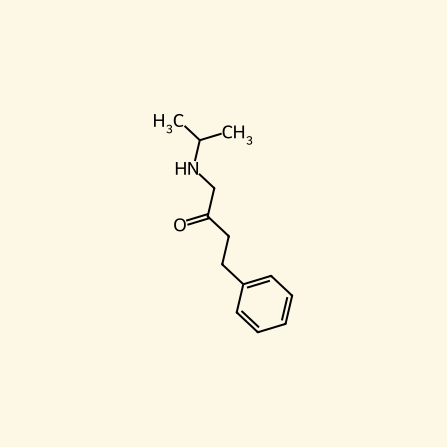 CC(C)NCC(=O)CCc1ccccc1